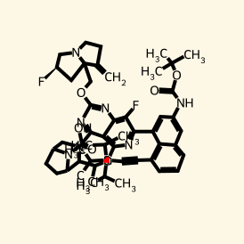 C=C1CCN2C[C@H](F)CC12COc1nc2c3c(nc(-c4cc(NC(=O)OC(C)(C)C)cc5cccc(C#C[Si](C(C)C)(C(C)C)C(C)C)c45)c(F)c3n1)OC(C)C1C3CCC(CN21)N3C(=O)O